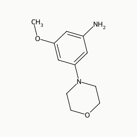 COc1cc(N)cc(N2CCOCC2)c1